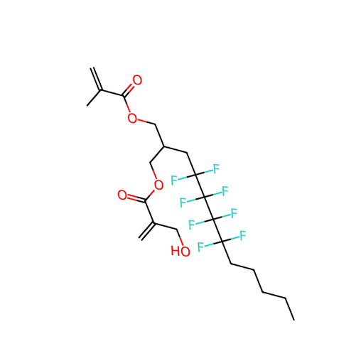 C=C(C)C(=O)OCC(COC(=O)C(=C)CO)CC(F)(F)C(F)(F)C(F)(F)C(F)(F)CCCCC